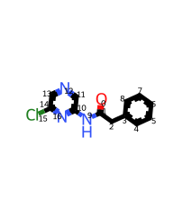 O=C(Cc1ccccc1)Nc1cncc(Cl)n1